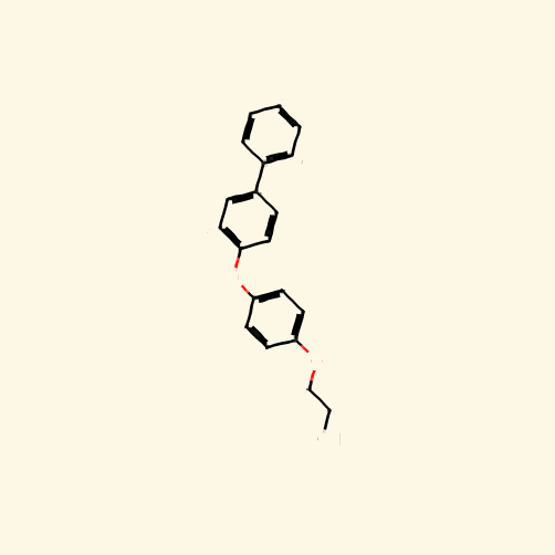 CCCOc1ccc(Oc2ccc(-c3ccccc3)cc2)cc1